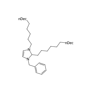 CCCCCCCCCCCCCCCCC1N(CCCCCCCCCCCCCCC)C=CN1Cc1ccccc1